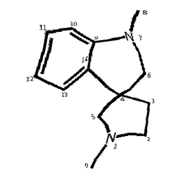 CN1CCC2(C1)CN(C)c1ccccc12